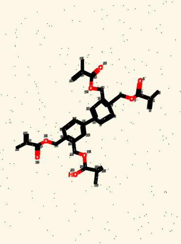 C=C(C)C(=O)OCc1ccc(-c2ccc(COC(=O)C(=C)C)c(COC(O)C(=C)C)c2)cc1COC(=O)C(=C)C